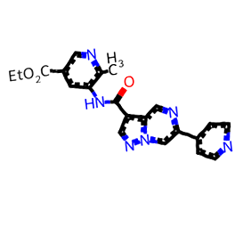 CCOC(=O)c1cnc(C)c(NC(=O)c2cnn3cc(-c4ccncc4)ncc23)c1